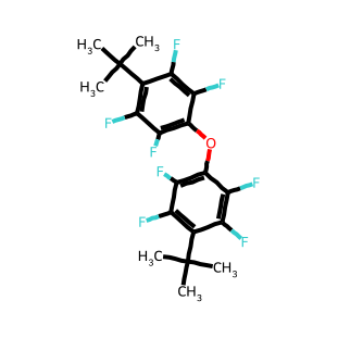 CC(C)(C)c1c(F)c(F)c(Oc2c(F)c(F)c(C(C)(C)C)c(F)c2F)c(F)c1F